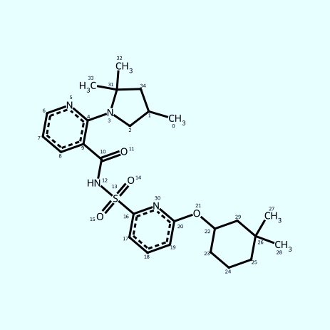 CC1CN(c2ncccc2C(=O)NS(=O)(=O)c2cccc(OC3CCCC(C)(C)C3)n2)C(C)(C)C1